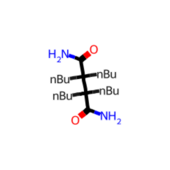 CCCCC(CCCC)(C(N)=O)C(CCCC)(CCCC)C(N)=O